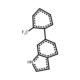 FC(F)(F)c1ccccc1-c1ccc2cc[nH]c2c1